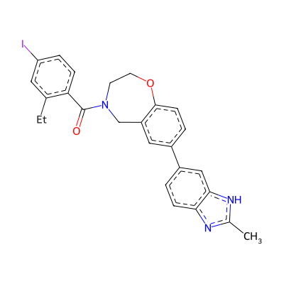 CCc1cc(I)ccc1C(=O)N1CCOc2ccc(-c3ccc4nc(C)[nH]c4c3)cc2C1